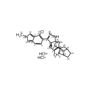 Cc1nc2c(-c3ccc4nn(C)cc4c3Cl)n[nH]c2nc1N1C2CCC1CC(N)C2.Cl.Cl